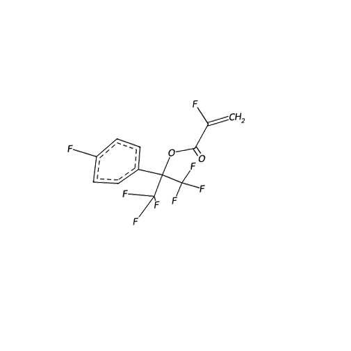 C=C(F)C(=O)OC(c1ccc(F)cc1)(C(F)(F)F)C(F)(F)F